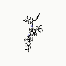 [2H]C([2H])(/C=C1\C[C@H]2C[C@@H](O[Si](CC)(CC)CC)[C@H](/C=C/[C@@H](O[Si](CC)(CC)CC)C(C)CC#CC)[C@H]2C1)C([2H])([2H])CC(=O)OC(C)C